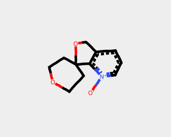 [O-][n+]1cccc2c1C1(CCOCC1)OC2